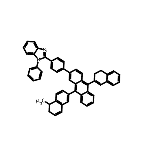 CC1CC=Cc2cc(-c3c4ccccc4c(C4=Cc5ccccc5CC4)c4ccc(-c5ccc(-c6nc7ccccc7n6-c6ccccc6)cc5)cc34)ccc21